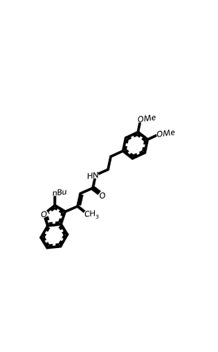 CCCCc1oc2ccccc2c1/C(C)=C/C(=O)NCCc1ccc(OC)c(OC)c1